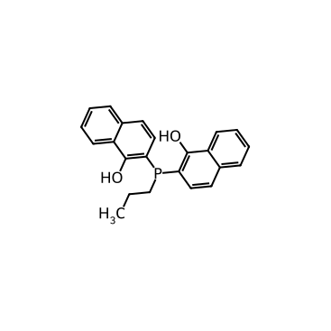 CCCP(c1ccc2ccccc2c1O)c1ccc2ccccc2c1O